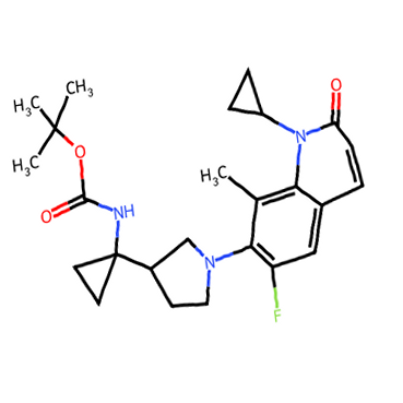 Cc1c(N2CCC(C3(NC(=O)OC(C)(C)C)CC3)C2)c(F)cc2ccc(=O)n(C3CC3)c12